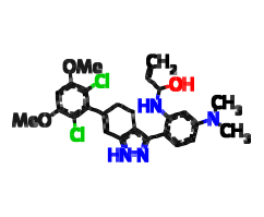 C=CC(O)Nc1cc(N(C)C)ccc1-c1n[nH]c2c1CCC(c1c(Cl)c(OC)cc(OC)c1Cl)=C2